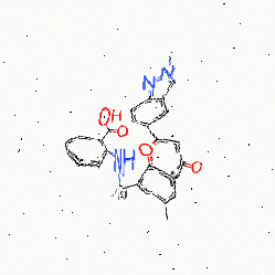 Cc1cc([C@H](C)Nc2ccccc2C(=O)O)c2oc(-c3ccc4nn(C)cc4c3)cc(=O)c2c1